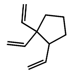 C=CC1CCCC1(C=C)C=C